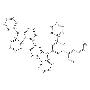 C=N/C(=C\C=C/C)c1cc(-n2c3cc(-c4cccc5c4c4ccccc4n5-c4ccccc4)ccc3c3cccnc32)cc(-c2ccccn2)n1